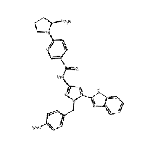 COc1ccc(Cn2nc(NC(=O)c3ccc(N4CCC[C@H]4C(=O)O)nc3)cc2-c2nc3ccccc3[nH]2)cc1